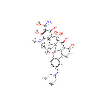 CCN(CC)Cc1ccc(OC)c(-c2ccc(O)c3c2C[C@H]2C[C@H]4C(N(C)C)C(O)=C(C(N)O)C(=O)[C@@]4(O)C(O)=C2C3=O)c1